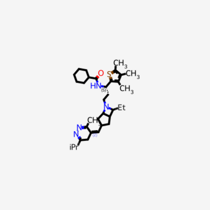 CCC1C2CC(/C=C3/CC(C(C)C)=NN=C3C)CC2N1CC[C@H](NC(=O)C1CCCCC1)c1sc(C)c(C)c1C